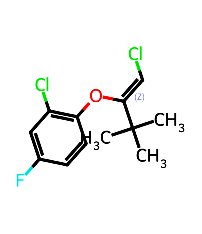 CC(C)(C)/C(=C/Cl)Oc1ccc(F)cc1Cl